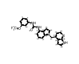 O=C(Nc1cccc(OC(F)(F)F)c1)Nc1cccc2c1ccn2Cc1ccnc2[nH]ccc12